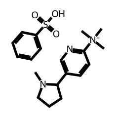 CN1CCCC1c1ccc([N+](C)(C)C)nc1.O=S(=O)(O)c1ccccc1